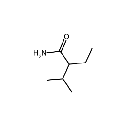 CCC(C(N)=O)C(C)C